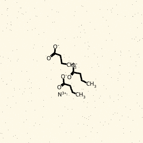 CCCC(=O)[O-].CCCC(=O)[O-].CCCC(=O)[O-].[N+3]